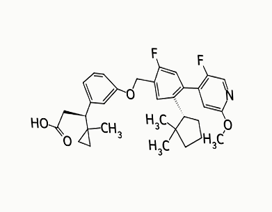 COc1cc(-c2cc(F)c(COc3cccc([C@H](CC(=O)O)C4(C)CC4)c3)cc2[C@@H]2CCCC2(C)C)c(F)cn1